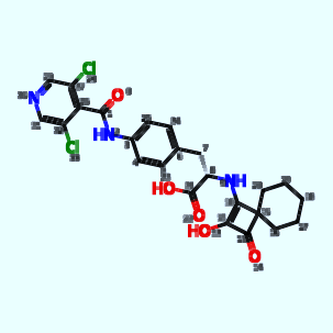 O=C(Nc1ccc(C[C@H](NC2=C(O)C(=O)C23CCCCC3)C(=O)O)cc1)c1c(Cl)cncc1Cl